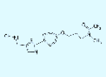 CN(CCCOc1ccc(-c2ncc(CNCl)s2)cc1)C(=O)C(F)(F)F